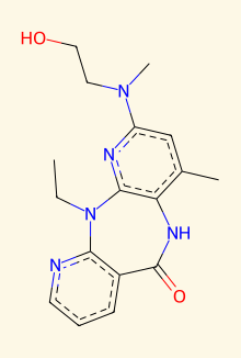 CCN1c2ncccc2C(=O)Nc2c(C)cc(N(C)CCO)nc21